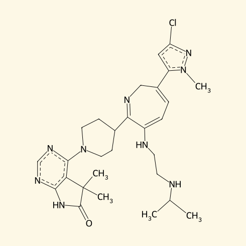 CC(C)NCCNC1=CC=C(c2cc(Cl)nn2C)CN=C1C1CCN(c2ncnc3c2C(C)(C)C(=O)N3)CC1